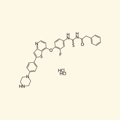 Cl.Cl.O=C(Cc1ccccc1)NC(=S)Nc1ccc(Oc2ccnc3cc(-c4ccc(N5CCNCC5)cc4)sc23)c(F)c1